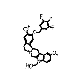 COc1ccc2c(c1)c1c(n2CO)CN2CCc3cc(OC)c(OCc4cc(F)c(F)c(F)c4)cc3C2C1